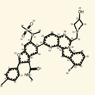 CNC(=O)c1c(-c2ccc(C)cc2)oc2cc(N(C)S(C)(=O)=O)c(-c3ccc4nc(CN5CC(O)C5)n5c6cccc(F)c6cc5c4n3)cc12